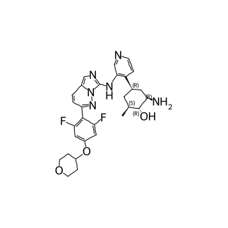 C[C@H]1C[C@@H](c2ccncc2Nc2ncc3ccc(-c4c(F)cc(OC5CCOCC5)cc4F)nn23)C[C@@H](N)[C@@H]1O